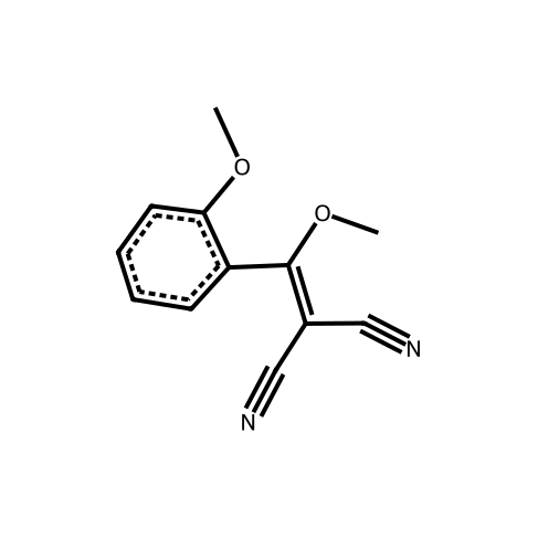 COC(=C(C#N)C#N)c1ccccc1OC